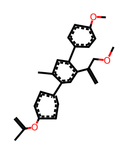 C=C(C)Oc1ccc(-c2cc(C(=C)COC)c(-c3ccc(OC)cc3)cc2C)cc1